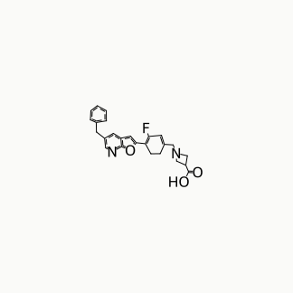 O=C(O)C1CN(CC2=CC(F)=C(c3cc4cc(Cc5ccccc5)cnc4o3)CC2)C1